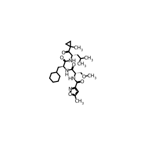 COC[C@H](NC(=O)c1cc(C)on1)C(=O)N[C@@H](CC1CCCCC1)C(=O)N[C@@H](CC(C)C)C(=O)C1(C)CC1